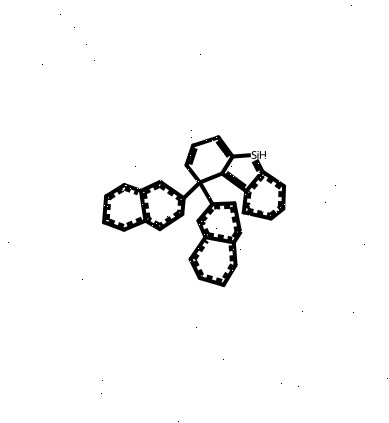 C1=CC(c2ccc3ccccc3c2)(c2ccc3ccccc3c2)C2=c3ccccc3=[SiH]C2=C1